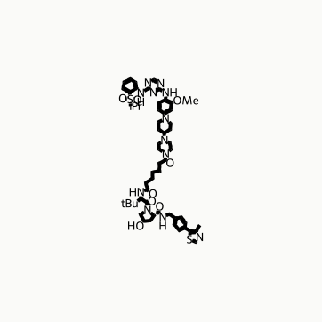 COc1cc(N2CCC(N3CCN(C(=O)CCCCCC(=O)NC(C(=O)N4C[C@H](O)C[C@H]4C(=O)NCc4ccc(-c5scnc5C)cc4)C(C)(C)C)CC3)CC2)ccc1Nc1ncnc(Nc2ccccc2S(=O)(=O)C(C)C)n1